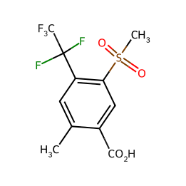 Cc1cc(C(F)(F)C(F)(F)F)c(S(C)(=O)=O)cc1C(=O)O